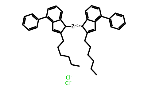 CCCCCCC1=Cc2c(-c3ccccc3)cccc2[CH]1[Zr+2][CH]1C(CCCCCC)=Cc2c(-c3ccccc3)cccc21.[Cl-].[Cl-]